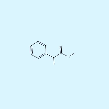 CCNC(=O)C(c1ccccc1)C(C)C